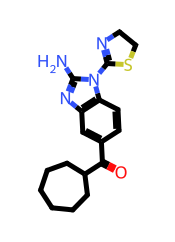 Nc1nc2cc(C(=O)C3CCCCCC3)ccc2n1C1=NCCS1